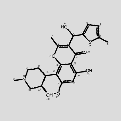 Cc1ccc(C(O)c2c(C)oc3c(C4CCN(C)CC4O)c(O)cc(O)c3c2=O)s1